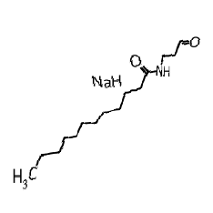 CCCCCCCCCCCC(=O)NCCC=O.[NaH]